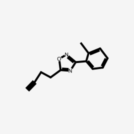 C#CCCc1nc(-c2ccccc2C)no1